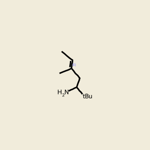 C/C=C(\C)CC(N)C(C)(C)C